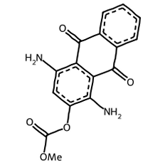 COC(=O)Oc1cc(N)c2c(c1N)C(=O)c1ccccc1C2=O